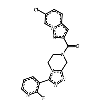 O=C(c1cc2ccc(Cl)cn2n1)N1CCn2c(nnc2-c2cccnc2F)C1